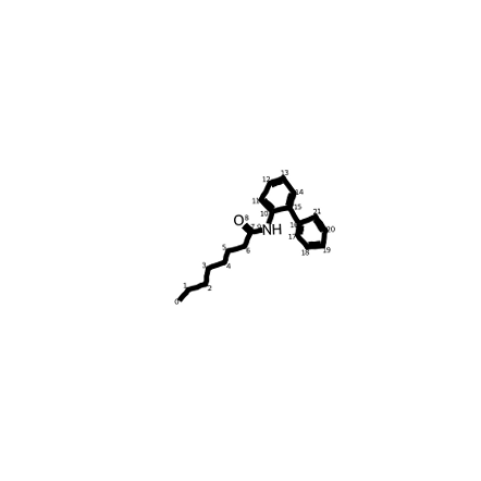 CCCCCCCC(=O)Nc1ccccc1-c1ccccc1